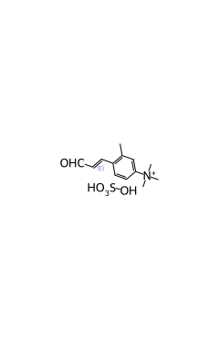 Cc1cc([N+](C)(C)C)ccc1/C=C/C=O.O=S(=O)(O)O